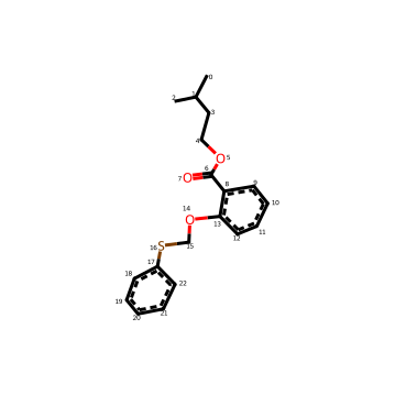 CC(C)CCOC(=O)c1ccccc1OCSc1ccccc1